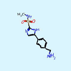 CNS(=O)(=O)c1ncc(-c2ccc(CN)cc2)[nH]1